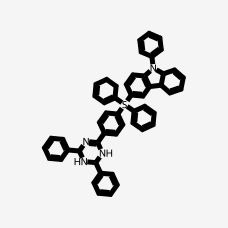 C1=CCCC(S(c2ccccc2)(c2ccc(C3=NC(c4ccccc4)NC(c4ccccc4)N3)cc2)c2ccc3c(c2)C2C=CC=CC2N3c2ccccc2)=C1